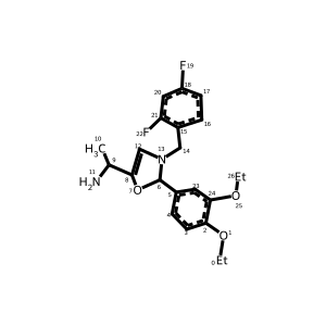 CCOc1ccc(C2OC(C(C)N)=CN2Cc2ccc(F)cc2F)cc1OCC